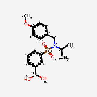 COc1ccc(CN(C(C)C)S(=O)(=O)c2cccc(B(O)O)c2)cc1